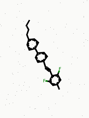 CCCCc1ccc(-c2ccc(C#Cc3c(F)cc(C)cc3F)cc2)cc1